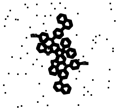 CC(C)(C)c1ccc(N(c2ccc(-c3cccc4ccccc34)cc2)c2cc3c(c4oc5ccccc5c24)-c2c(cc(N(c4ccc(-c5cccc6ccccc56)cc4)c4ccc(C(C)(C)C)cc4)c4c2oc2ccccc24)C3(c2ccccc2)c2ccccc2)cc1